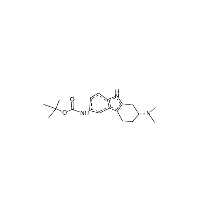 CN(C)[C@@H]1CCc2c([nH]c3ccc(NC(=O)OC(C)(C)C)cc23)C1